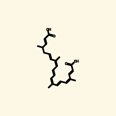 CC(C=CC=C(C)C=CC(=O)O)=CC=CC=C(C)C=CCC(C)C=CC(=O)O